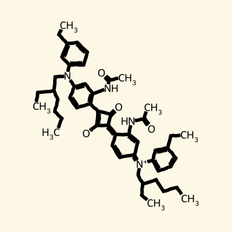 CCCCC(CC)CN(c1cccc(CC)c1)c1ccc(C2=C([O-])/C(=C3C=C/C(=[N+](\CC(CC)CCCC)c4cccc(CC)c4)C=C\3NC(C)=O)C2=O)c(NC(C)=O)c1